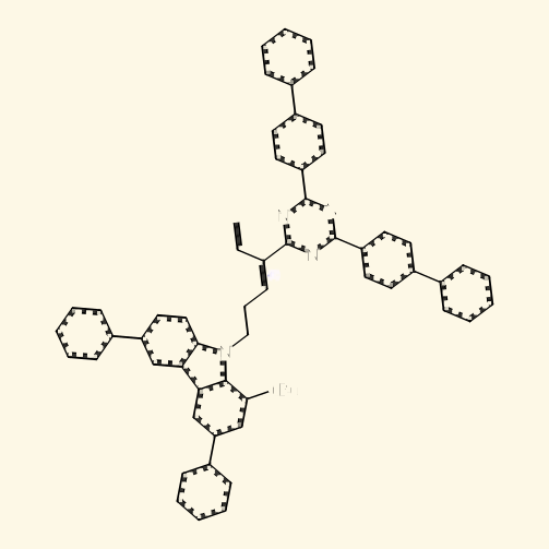 C=C/C(=C\CCn1c2ccc(-c3ccccc3)cc2c2cc(-c3ccccc3)cc(C(C)(C)C)c21)c1nc(-c2ccc(-c3ccccc3)cc2)nc(-c2ccc(-c3ccccc3)cc2)n1